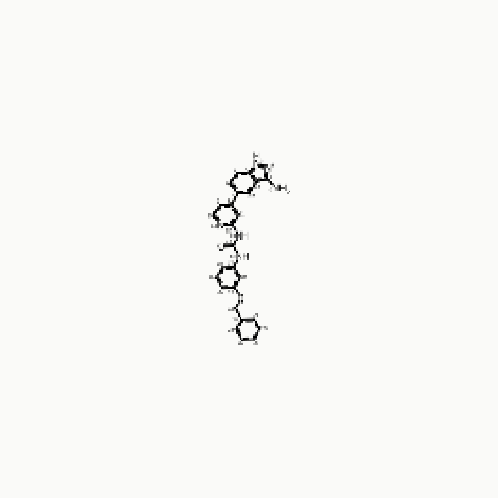 Nc1n[nH]c2ccc(-c3ccnc(NC(=O)Nc4cccc(OCc5ccccc5)c4)c3)cc12